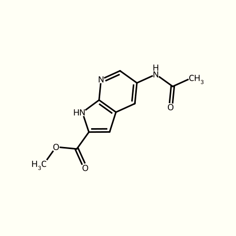 COC(=O)c1cc2cc(NC(C)=O)cnc2[nH]1